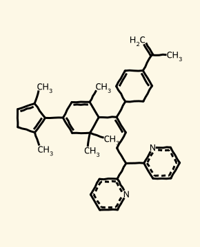 C=C(C)C1=CCC(/C(=C/CC(c2ccccn2)c2ccccn2)C2C(C)=CC(C3=C(C)CC=C3C)=CC2(C)C)C=C1